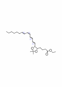 CCCCCC/C=C/C=C\C=C\C=C\C1OC(C)(C)OC1CCCC(=O)OCC